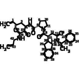 C=CCCC(NC(=O)[C@@H]1CCCN1C(=O)[C@@H](CC(=O)N[C@H](C)c1ccccc1)C1Cc2ccccc2C1)C(=O)C(=O)NCC=C